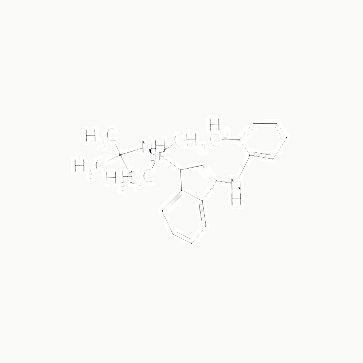 Cc1ccccc1NC1=CC([Si](C)(C)NC(C)(C)C)c2ccccc21